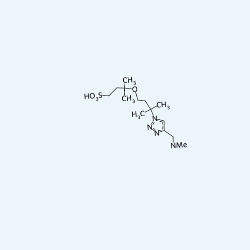 CNCc1cn(C(C)(C)CCOC(C)(C)CCS(=O)(=O)O)nn1